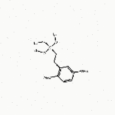 CCO[Si](CCc1cc(OC)ccc1OC)(OCC)OCC